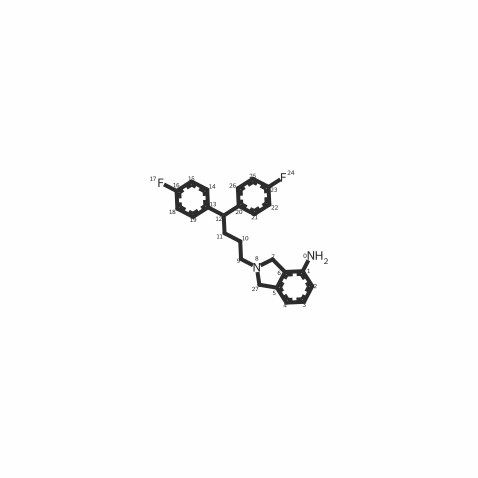 Nc1cccc2c1CN(CCCC(c1ccc(F)cc1)c1ccc(F)cc1)C2